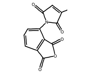 CC1=CC(=O)N(c2cccc3c2C(=O)OC3=O)C1=O